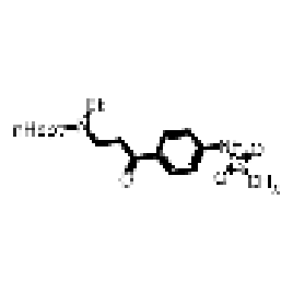 CCCCCCCN(CC)CCC(=O)c1ccc(NS(C)(=O)=O)cc1